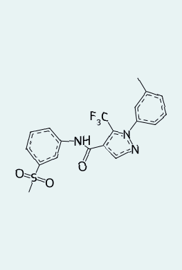 Cc1cccc(-n2ncc(C(=O)Nc3cccc(S(C)(=O)=O)c3)c2C(F)(F)F)c1